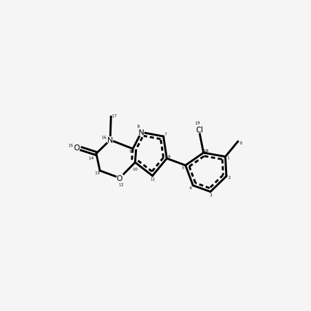 Cc1cccc(-c2cnc3c(c2)OCC(=O)N3C)c1Cl